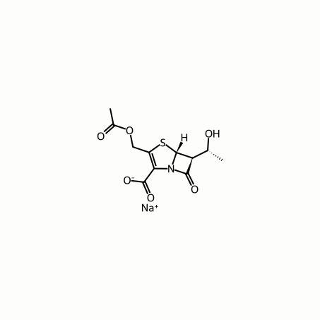 CC(=O)OCC1=C(C(=O)[O-])N2C(=O)[C@H]([C@@H](C)O)[C@H]2S1.[Na+]